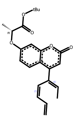 C=C/C=C\C(=C/C)c1cc(=O)oc2cc(O[C@H](C)C(=O)OC(C)(C)C)ccc12